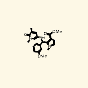 COC(=O)c1ccn(C)c1C(Nc1cc(C)c(=O)n(C)c1)c1cccc(OC)c1